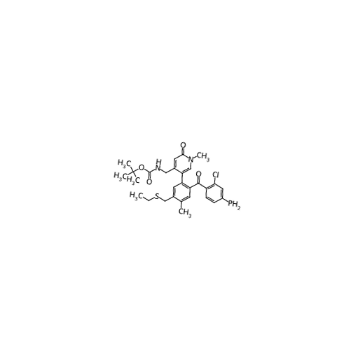 CCSCc1cc(-c2cn(C)c(=O)cc2CNC(=O)OC(C)(C)C)c(C(=O)c2ccc(P)cc2Cl)cc1C